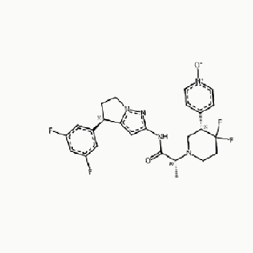 C[C@H](C(=O)Nc1cc2n(n1)CC[C@@H]2c1cc(F)cc(F)c1)N1CCC(F)(F)[C@@H](c2cc[n+]([O-])cc2)C1